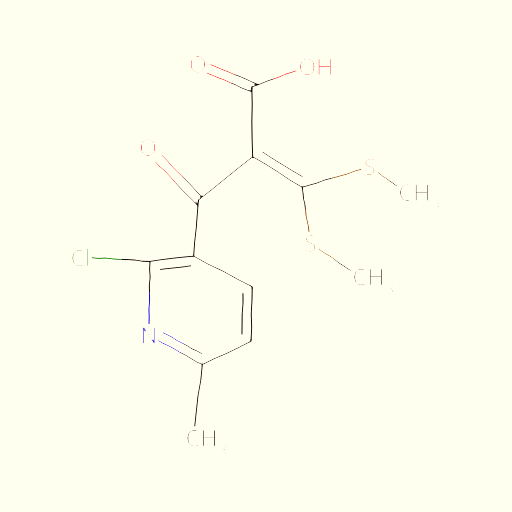 CSC(SC)=C(C(=O)O)C(=O)c1ccc(C)nc1Cl